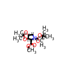 COC(=O)C1C2OC(C)(C)OC2CN1C(=O)OC(C)(C)C